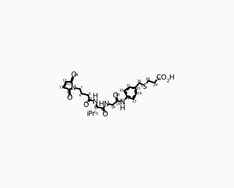 CC(C)[C@H](NC(=O)CCCN1C(=O)C=CC1=O)C(=O)NCC(=O)Nc1ccc(CSCCC(=O)O)cc1